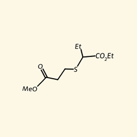 CCOC(=O)C(CC)SCCC(=O)OC